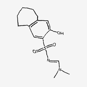 CN(C)C=NS(=O)(=O)c1cc2c(cc1O)CCCC2